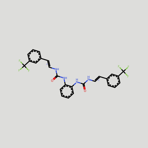 O=C(N/C=C/c1cccc(C(F)(F)F)c1)Nc1ccccc1NC(=O)N/C=C/c1cccc(C(F)(F)F)c1